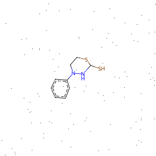 SC1NN(c2ccccc2)CCS1